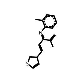 C=C(C)C(/C=C/C1C=CSC1)=N\c1ccccc1C